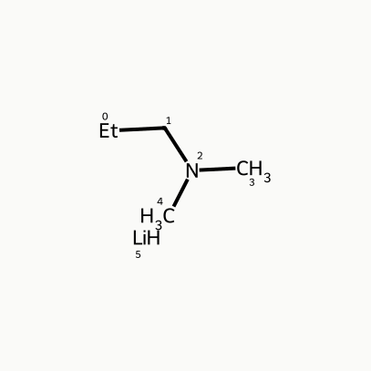 [CH2]CCN(C)C.[LiH]